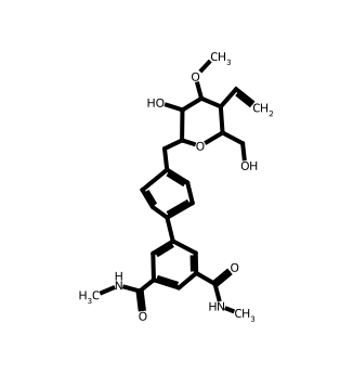 C=CC1C(CO)OC(Cc2ccc(-c3cc(C(=O)NC)cc(C(=O)NC)c3)cc2)C(O)C1OC